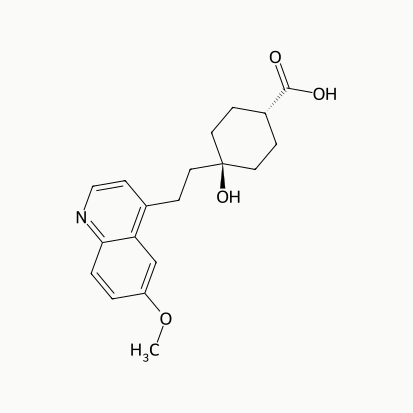 COc1ccc2nccc(CC[C@]3(O)CC[C@H](C(=O)O)CC3)c2c1